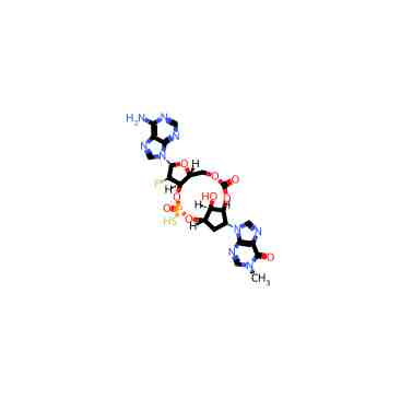 Cn1cnc2c(ncn2[C@@H]2C[C@@H]3OP(=O)(S)O[C@H]4[C@@H](F)[C@H](n5cnc6c(N)ncnc65)O[C@@H]4COC(=O)O[C@@H]2[C@@H]3O)c1=O